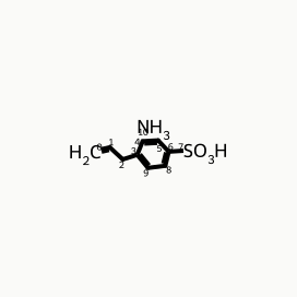 C=CCc1ccc(S(=O)(=O)O)cc1.N